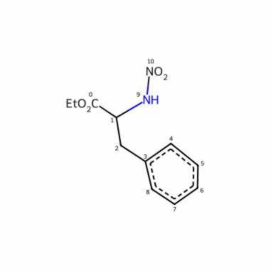 CCOC(=O)C(Cc1ccccc1)N[N+](=O)[O-]